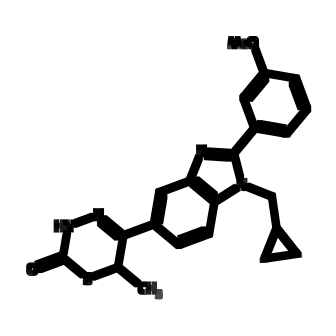 COc1cccc(-c2nc3cc(C4=NNC(=O)SC4C)ccc3n2CC2CC2)c1